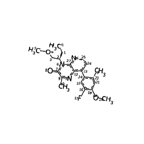 CC[C@H](COC)n1c(=O)c(C)nc2c(-c3cc(F)c(OC)cc3C)ccnc21